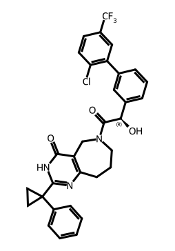 O=C([C@H](O)c1cccc(-c2cc(C(F)(F)F)ccc2Cl)c1)N1CCCc2nc(C3(c4ccccc4)CC3)[nH]c(=O)c2C1